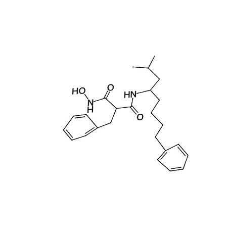 CC(C)CC(CCCCc1ccccc1)NC(=O)C(Cc1ccccc1)C(=O)NO